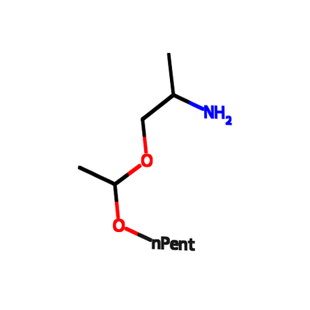 CCCCCOC(C)OCC(C)N